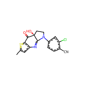 Cc1cc2c(s1)C(=O)[C@]1(O)CCN(c3ccc(C#N)c(Cl)c3)C1=N2